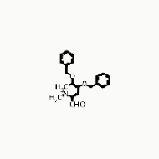 C=N/C(C=O)=C\C(OCc1ccccc1)=C(/C)OCc1ccccc1